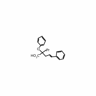 CC(C)C(C/C=C/c1ccccc1)(Oc1ccccc1)C(=O)O